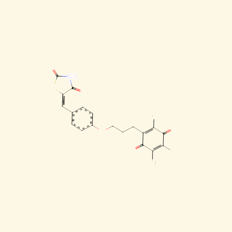 CC1=C(C)C(=O)C(CCCOc2ccc(C=C3SC(=O)NC3=O)cc2)=C(C)C1=O